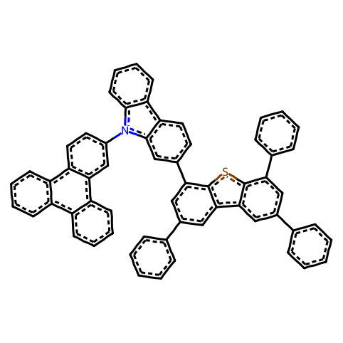 c1ccc(-c2cc(-c3ccccc3)c3sc4c(-c5ccc6c7ccccc7n(-c7ccc8c9ccccc9c9ccccc9c8c7)c6c5)cc(-c5ccccc5)cc4c3c2)cc1